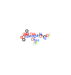 CC(C)(c1ncc(-c2cncc(OC(F)F)c2)o1)N1CCN(C[C@@H](O)CC(Cc2ccccc2)C(=O)N[C@H]2c3ccccc3OC[C@H]2O)[C@H](C(=O)NCC(F)(F)F)C1